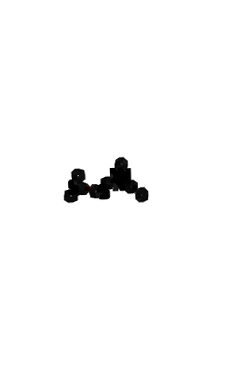 c1ccc(-c2ccc(-c3nc(-c4ccccc4)nc(-c4ccc5c(c4)sc4ccc(-c6cc(-c7ccccc7)c7sc8ccccc8c7c6)cc45)n3)cc2)cc1